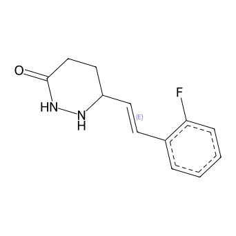 O=C1CCC(/C=C/c2ccccc2F)NN1